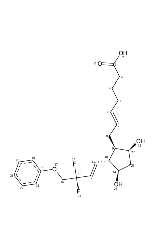 O=C(O)CCCC=CC[C@@H]1[C@@H](C=CC(F)(F)COc2ccccc2)[C@H](O)C[C@@H]1O